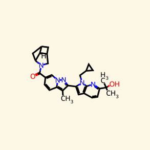 Cc1c(-c2cc3ccc(C(C)(C)O)nc3n2CC2CC2)nn2cc(C(=O)N3CC4CC5CC3[C@H]54)ccc12